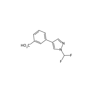 O=C(O)c1cccc(-c2cnn(C(F)F)c2)c1